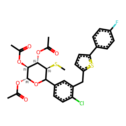 CS[C@H]1C(c2ccc(Cl)c(Cc3ccc(-c4ccc(F)cc4)s3)c2)O[C@H](OC(C)=O)[C@@H](OC(C)=O)[C@@H]1OC(C)=O